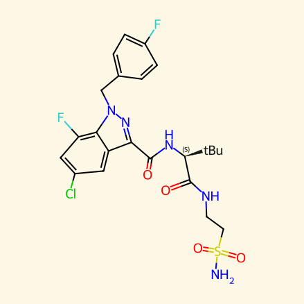 CC(C)(C)[C@H](NC(=O)c1nn(Cc2ccc(F)cc2)c2c(F)cc(Cl)cc12)C(=O)NCCS(N)(=O)=O